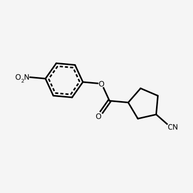 N#CC1CCC(C(=O)Oc2ccc([N+](=O)[O-])cc2)C1